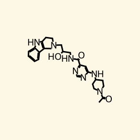 CC(=O)N1CCC(Nc2cc(C(=O)NCC(O)CN3CCc4[nH]c5ccccc5c4C3)ncn2)CC1